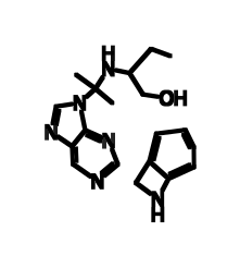 CCC(CO)NC(C)(C)n1cnc2cncnc21.c1ccc2c(c1)CN2